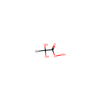 CCC(O)(O)C(=O)OO